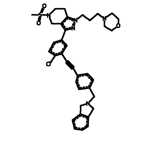 CS(=O)(=O)N1CCc2c(c(-c3ccc(Cl)c(C#Cc4ccc(CN5Cc6ccccc6C5)cc4)c3)nn2CCCN2CCOCC2)C1